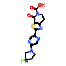 O=C(O)N1CCc2nc(-c3cnc(N4CC[C@@H](F)C4)cn3)sc2C1=O